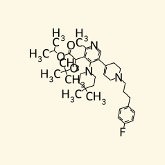 Cc1ncc(C2=CCN(CCCc3ccc(F)cc3)CC2)c(N2CCC(C)(C)CC2)c1C(OC(C)(C)C)C(=O)OC(C)C